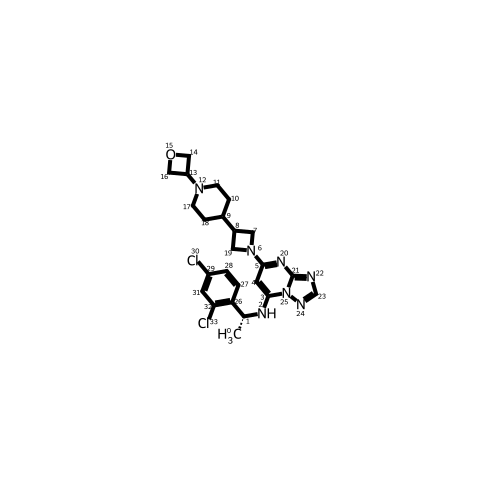 C[C@@H](Nc1cc(N2CC(C3CCN(C4COC4)CC3)C2)nc2ncnn12)c1ccc(Cl)cc1Cl